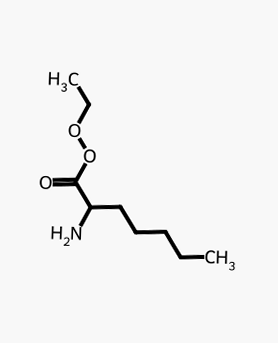 CCCCCC(N)C(=O)OOCC